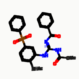 COC(=O)N/C(=N\C(=O)c1ccccc1)Nc1cc(S(=O)(=O)c2ccccc2)ccc1NC(C)=O